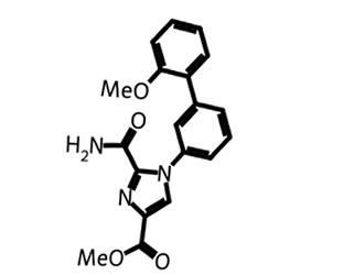 COC(=O)c1cn(-c2cccc(-c3ccccc3OC)c2)c(C(N)=O)n1